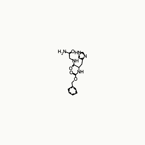 NC(=O)CNC(=O)C(Cc1c[nH]cn1)NC(=O)OCc1ccccc1